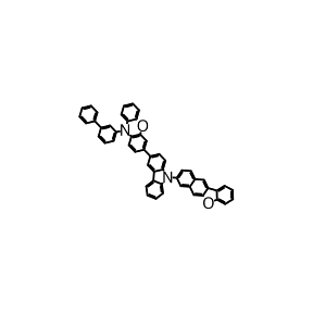 c1ccc(-c2cccc(N3c4ccccc4Oc4cc(-c5ccc6c(c5)c5ccccc5n6-c5ccc6cc7c(cc6c5)oc5ccccc57)ccc43)c2)cc1